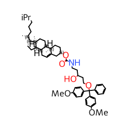 COc1ccc(C(OCCC(O)CCNC(=O)O[C@H]2CC[C@@]3(C)C(=CC[C@H]4[C@@H]5CC[C@H]([C@H](C)CCCC(C)C)[C@@]5(C)CC[C@@H]43)C2)(c2ccccc2)c2ccc(OC)cc2)cc1